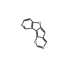 c1cc2oc3cc4cncoc-4c3c2cn1